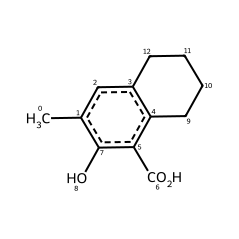 Cc1cc2c(c(C(=O)O)c1O)CCCC2